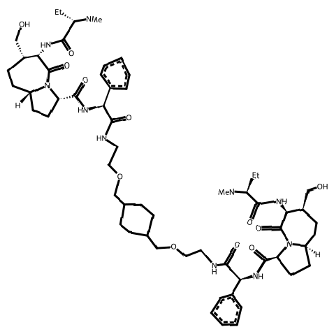 CC[C@H](NC)C(=O)N[C@@H]1C(=O)N2[C@@H](CC[C@@H]1CO)CC[C@H]2C(=O)N[C@H](C(=O)NCCOCC1CCC(COCCNC(=O)[C@@H](NC(=O)[C@@H]2CC[C@@H]3CC[C@H](CO)[C@H](NC(=O)[C@H](CC)NC)C(=O)N32)c2ccccc2)CC1)c1ccccc1